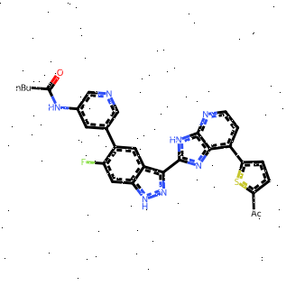 CCCCC(=O)Nc1cncc(-c2cc3c(-c4nc5c(-c6ccc(C(C)=O)s6)ccnc5[nH]4)n[nH]c3cc2F)c1